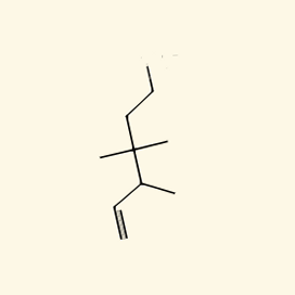 C=CC(C)C(C)(C)CCC(=O)OCC